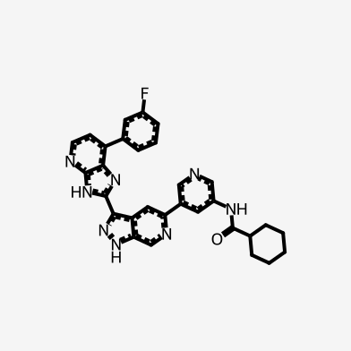 O=C(Nc1cncc(-c2cc3c(-c4nc5c(-c6cccc(F)c6)ccnc5[nH]4)n[nH]c3cn2)c1)C1CCCCC1